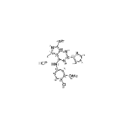 CCCc1nn(C)c2c(Nc3ccc(Cl)c(OC)c3)nc(-c3cccs3)nc12.Cl